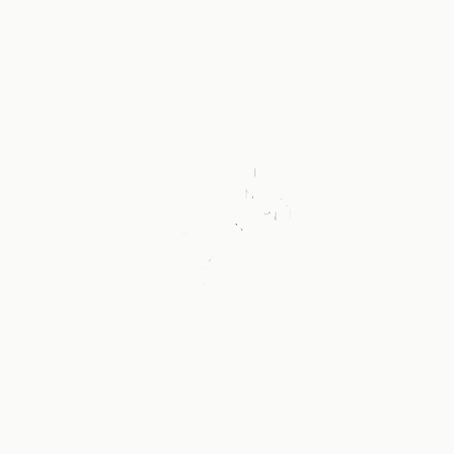 Cl.c1ccc(C(CNC2=N[C@H]3CCCC[C@@H]3N2)c2ccccc2)cc1